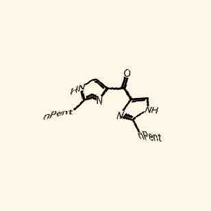 CCCCCc1nc(C(=O)c2c[nH]c(CCCCC)n2)c[nH]1